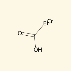 CCC(=O)O.[Cr]